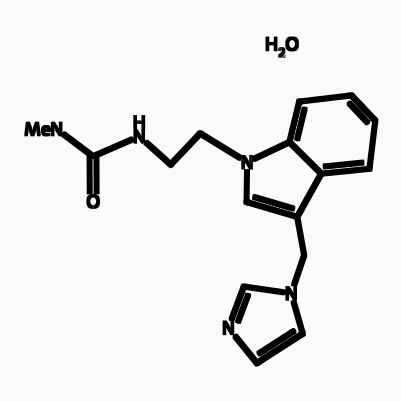 CNC(=O)NCCn1cc(Cn2ccnc2)c2ccccc21.O